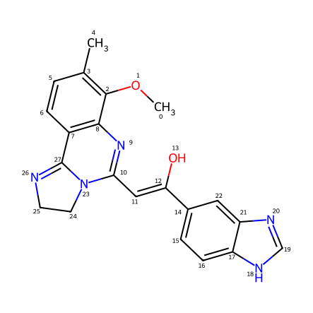 COc1c(C)ccc2c1N=C(/C=C(\O)c1ccc3[nH]cnc3c1)N1CCN=C21